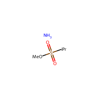 COS(=O)(=O)C(C)C.N